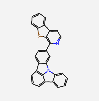 c1ccc2c(c1)sc1c(-c3ccc4c5cccc6c7ccccc7n(c4c3)c65)nccc12